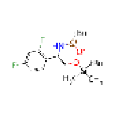 CC(C)(C)[S+]([O-])N[C@@H](CO[Si](C)(C)C(C)(C)C)c1ccc(F)cc1F